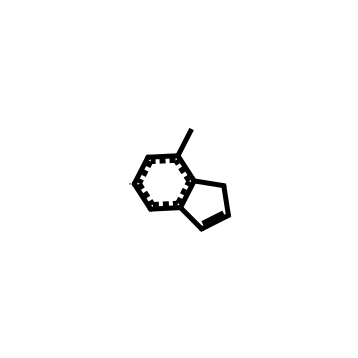 Cc1c[c]cc2c1CC=C2